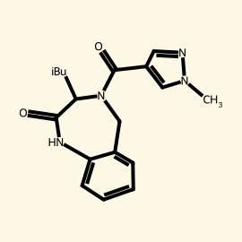 CCC(C)C1C(=O)Nc2ccccc2CN1C(=O)c1cnn(C)c1